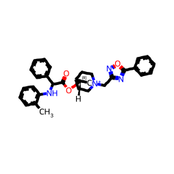 Cc1ccccc1NC(C(=O)O[C@H]1C[N+]2(Cc3noc(-c4ccccc4)n3)CCC1CC2)c1ccccc1